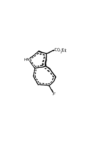 CCOC(=O)c1c[nH]c2ccc(F)cc12